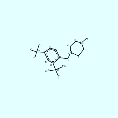 CN1CCN(Cc2ccc(C(C)(C)C)cc2C(F)(F)F)CC1